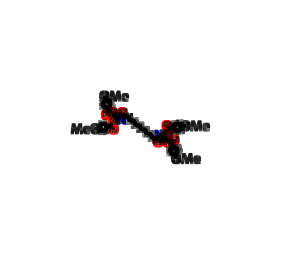 COc1ccc(C(=O)OCC2(COC(=O)c3ccc(OC)cc3)COC(CCCCCCCCCCC3=NC(COC(=O)c4ccc(OC)cc4)(COC(=O)c4ccc(OC)cc4)CO3)=N2)cc1